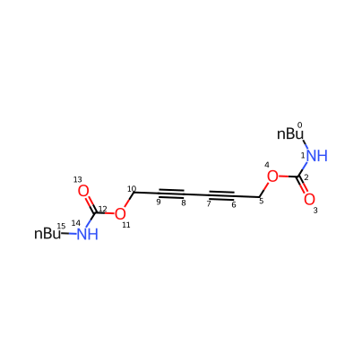 CCCCNC(=O)OCC#CC#CCOC(=O)NCCCC